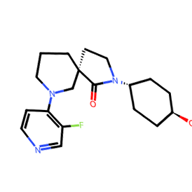 O=C1N([C@H]2CC[C@H](O)CC2)CC[C@]12CCCN(c1ccncc1F)C2